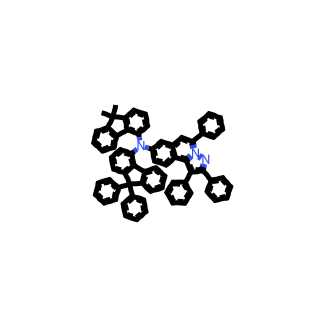 CC1(C)c2ccccc2-c2c(N(c3ccc4c(c3)cc(-c3ccccc3)n3nc(-c5ccccc5)c(-c5ccccc5)c43)c3cccc4c3-c3ccccc3C4(c3ccccc3)c3ccccc3)cccc21